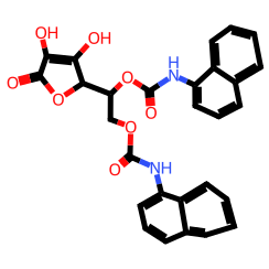 O=C(Nc1cccc2ccccc12)OCC(OC(=O)Nc1cccc2ccccc12)C1OC(=O)C(O)=C1O